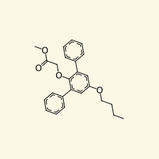 CCCCOc1cc(-c2ccccc2)c(OCC(=O)OC)c(-c2ccccc2)c1